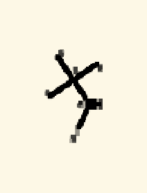 CC(C)(C)BI